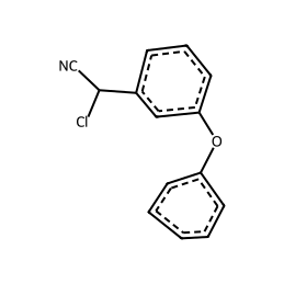 N#CC(Cl)c1cccc(Oc2ccccc2)c1